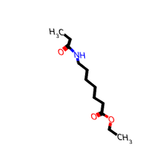 CCOC(=O)CCCCCCNC(=O)CC